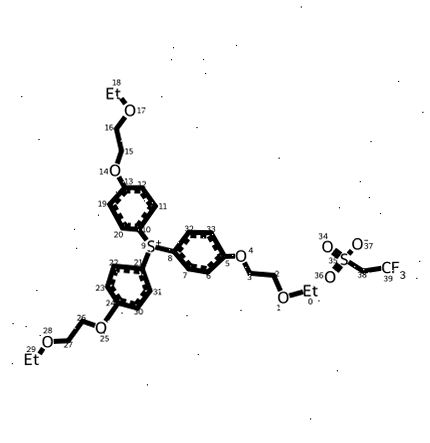 CCOCCOc1ccc([S+](c2ccc(OCCOCC)cc2)c2ccc(OCCOCC)cc2)cc1.O=S(=O)([O-])CC(F)(F)F